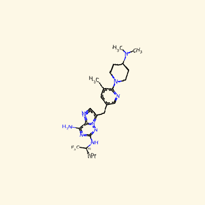 CCC[C@H](Nc1nc(N)c2ncc(Cc3cnc(N4CCC(N(C)C)CC4)c(C)c3)n2n1)C(F)(F)F